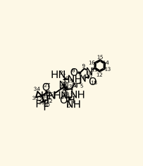 N=C1NC2[C@H](CN3C(=O)CN(c4ccccc4)C3=O)NC(=N)N3CC(NC(=O)C4(C(F)(F)F)CC4)[C@@H](O)C23N1